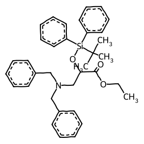 CCOC(=O)C(CN(Cc1ccccc1)Cc1ccccc1)O[Si](c1ccccc1)(c1ccccc1)C(C)(C)C